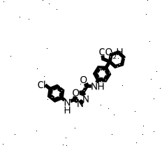 O=C(O)CC1(c2ccc(NC(=O)c3nnc(Nc4ccc(Cl)cc4)o3)cc2)CCCCC1